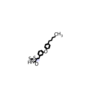 CCCCCc1ccc(Oc2cccc(/C=C3\SC(=S)NC3=O)c2)cc1